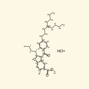 CCCCc1oc2cc(C)c(C(=O)OC)cc2c1C(=O)c1ccc(CCCN(CCCC)CCCC)cc1.Cl